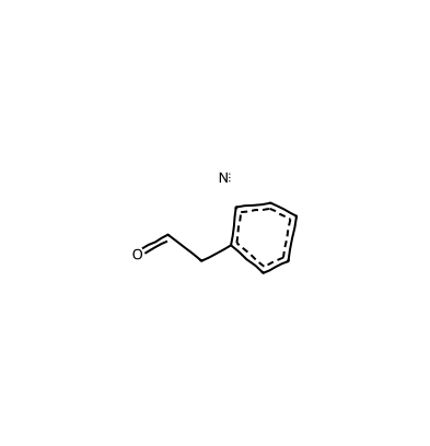 O=CCc1ccccc1.[N]